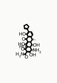 C[C@H]1c2ccc(C3=CCCC3)c(O)c2C(=O)C2=C(O)[C@]3(O)C(=O)C(C(N)=O)=C(O)[C@@H](N)C3[C@@H](O)C21